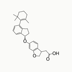 CC1=C(c2cccc3c2CC[C@H]3Oc2ccc3c(c2)OCC3CC(=O)O)C(C)(C)CCC1